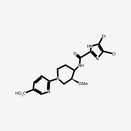 CCc1[nH]c(C(=O)NC2CCN(c3ccc(C(=O)O)cn3)C[C@@H]2OC)nc1Cl